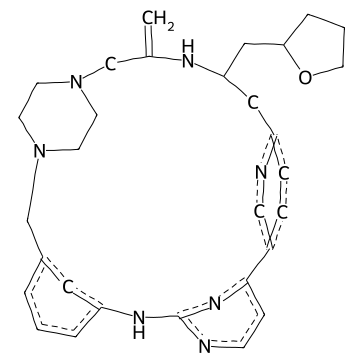 C=C1CN2CCN(CC2)Cc2cccc(c2)Nc2nccc(n2)-c2ccc(nc2)CC(CC2CCCO2)N1